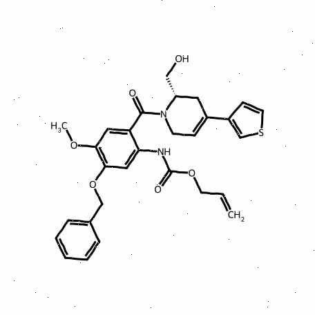 C=CCOC(=O)Nc1cc(OCc2ccccc2)c(OC)cc1C(=O)N1CC=C(c2ccsc2)C[C@H]1CO